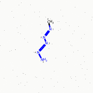 CN=NN=NN